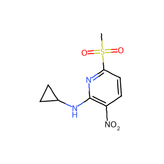 CS(=O)(=O)c1ccc([N+](=O)[O-])c(NC2CC2)n1